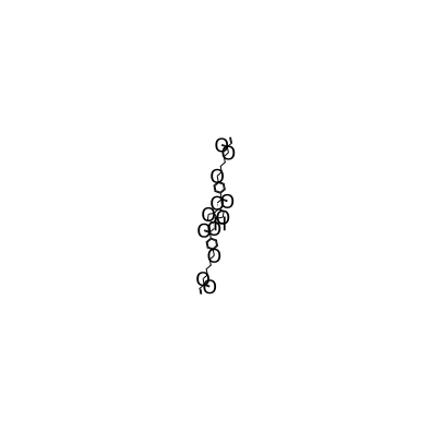 C=CC(=O)OCCCCOc1ccc(C(=O)O[C@@H]2CO[C@H]3C2OC[C@H]3OC(=O)c2ccc(OCCCCOC(=O)C=C)cc2)cc1